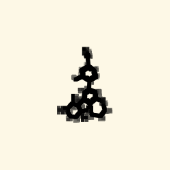 Cc1cc(C#N)ccc1-c1cc2c3c(c1)[C@@H]1CNCC[C@@H]1N3CCCS2